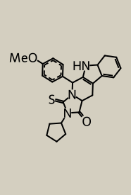 COc1ccc(C2C3=C(CC4C(=O)N(C5CCCC5)C(=S)N42)C2=CC=CCC2N3)cc1